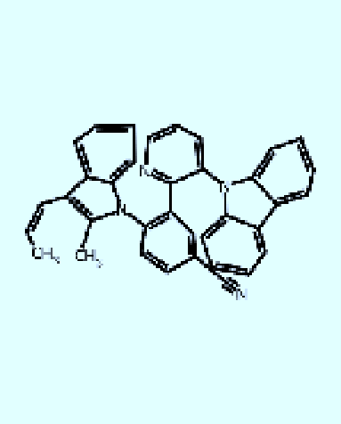 C/C=C\c1c(C)n(-c2ccc(C#N)cc2-c2ncccc2-n2c3ccccc3c3ccccc32)c2ccccc12